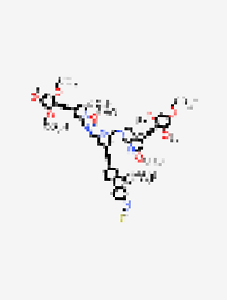 CCOc1cc(OCC(=O)O)c(C#Cc2cc(CN(COC=O)Cc3cc(C#Cc4ccc5c(c4)C(CC(=O)O)(CC(=O)O)c4cc(N=C=S)ccc4-5)cc(CN(CC(=O)O)Cc4cc(C#Cc5c(OCC)cc(OCC(=O)O)cc5OCC)cc(OC=O)n4)n3)nc(C(=O)O)c2)c(OCC(=O)O)c1